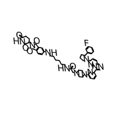 O=C(CN1CCN(c2cccc(-c3cnc4ccc(N5CCCC5c5cccc(F)c5)nn34)n2)CC1)NCCCCCCNc1ccc2c(c1)C(=O)N(C1CCC(=O)NC1=O)C2=O